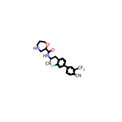 N#Cc1ccc(-c2ccc(C[C@@H](C#N)NC(=O)C3CNCCCO3)c(F)c2)cc1C(F)(F)F